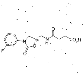 O=C(O)CCC(=O)NC[C@H]1CN(c2cccc(F)c2)C(=O)O1